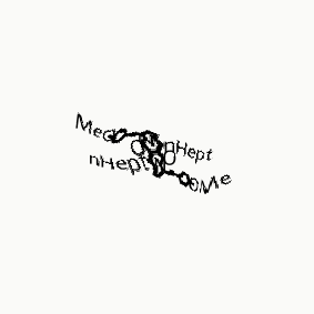 CCCCCCCc1c2c(=O)n3c(C#Cc4ccc(OC)cc4)ccc3c(CCCCCCC)c2c(=O)n2c(C#Cc3ccc(OC)cc3)ccc12